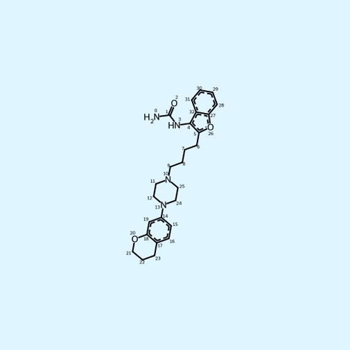 NC(=O)Nc1c(CCCCN2CCN(c3ccc4c(c3)OCCC4)CC2)oc2ccccc12